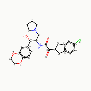 O=C(NC(CN1CCCC1)C(O)c1ccc2c(c1)OCCO2)C(=O)C1Cc2ccc(Cl)cc2C1